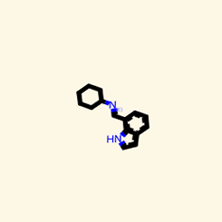 C(=N\C1CCCCC1)/c1cccc2cc[nH]c12